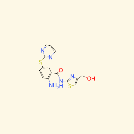 Nc1ccc(Sc2ncccn2)cc1C(=O)Nc1nc(CO)cs1